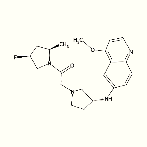 COc1ccnc2ccc(N[C@@H]3CCN(CC(=O)N4C[C@@H](F)C[C@H]4C)C3)cc12